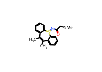 CNCC(=O)N=S1c2ccccc2C(C)=C(C)c2ccccc21